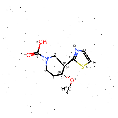 CO[C@@H]1CCN(C(=O)O)C[C@H]1c1nccs1